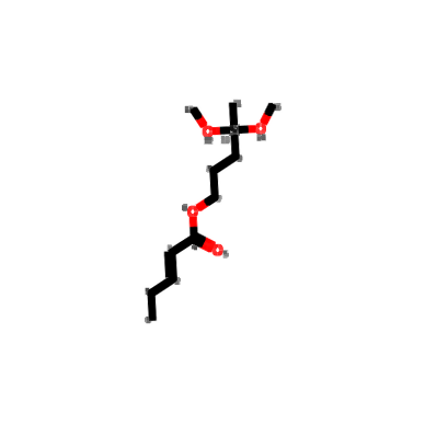 CCC=CC(=O)OCCC[Si](C)(OC)OC